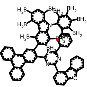 Bc1cc(B)c2c(c1B)c1c(B)c(-c3cc4c5ccccc5c5ccccc5c4cc3-c3nc(-c4ccccc4)nc(-c4cccc5oc6ccccc6c45)n3)c(B)c(B)c1n2-c1c(B)c(B)c(B)c(B)c1B